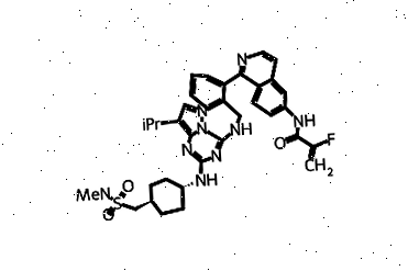 C=C(F)C(=O)Nc1ccc2c(-c3ccccc3CNc3nc(N[C@H]4CC[C@H](CS(=O)(=O)NC)CC4)nc4c(C(C)C)cnn34)nccc2c1